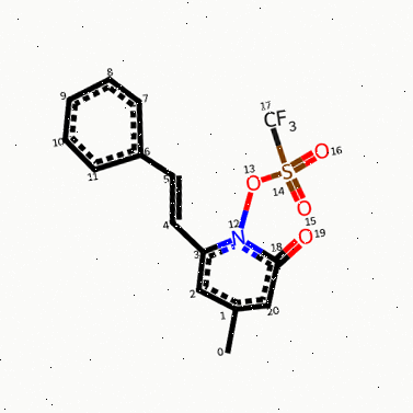 Cc1cc(C=Cc2ccccc2)n(OS(=O)(=O)C(F)(F)F)c(=O)c1